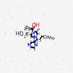 COCC[C@H](c1cnccn1)N1C[C@@H](C)N(C(O)C(C)C)[C@@H](C(=O)O)C1